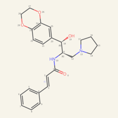 O=C(/C=C/c1ccccc1)N[C@H](CN1CCCC1)[C@H](O)c1ccc2c(c1)OCCO2